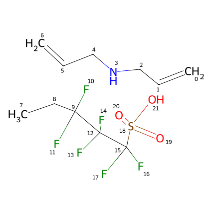 C=CCNCC=C.CCC(F)(F)C(F)(F)C(F)(F)S(=O)(=O)O